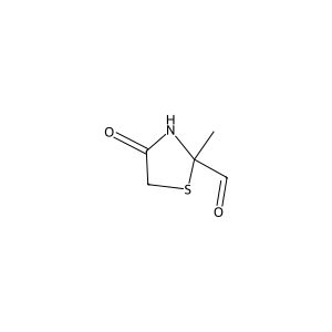 CC1(C=O)NC(=O)CS1